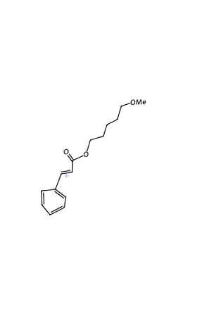 COCCCCCOC(=O)/C=C/c1ccccc1